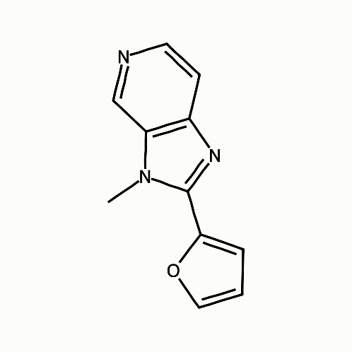 Cn1c(-c2ccco2)nc2ccncc21